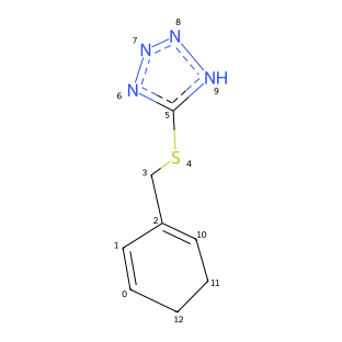 C1=CC(CSc2nnn[nH]2)=CCC1